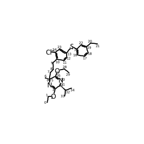 CCOC1=N[C@](C)(CCCc2ccc(Sc3cccc(CC)c3)cc2Cl)C(OCC)=N[C@H]1C(C)C